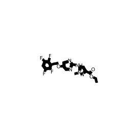 CCOC(=O)c1cc(Nc2ncc(OCc3c(F)c(F)cc(F)c3F)cn2)n(C)n1